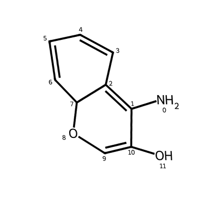 NC1=C2C=CC=CC2OC=C1O